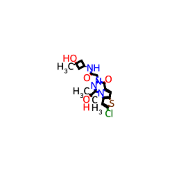 CC(C)(O)c1nn(CC(=O)N[C@H]2C[C@@](C)(O)C2)c(=O)c2cc3sc(Cl)cc3n12